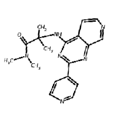 CN(C)C(=O)C(C)(C)Nc1nc(-c2ccncc2)nc2cnccc12